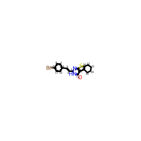 O=c1[nH]c(C=Cc2ccc(Br)cc2)nc2sc3c(c12)CCCC3